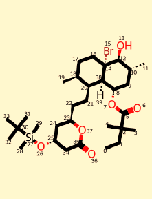 CCC(C)(C)C(=O)O[C@H]1C[C@@H](C)[C@H](O)[C@]2(Br)CC[C@H](C)[C@H](CC[C@@H]3C[C@@H](O[Si](C)(C)C(C)(C)C)CC(=O)O3)[C@H]12